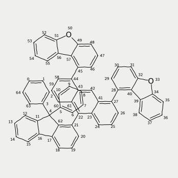 c1ccc(C2(c3ccccc3)c3ccccc3-c3cccc(-c4c5cccc(-c6cccc7oc8ccccc8c67)c5cc5c(-c6cccc7oc8ccccc8c67)cccc45)c32)cc1